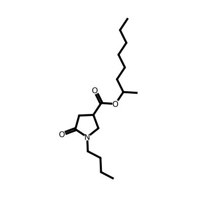 CCCCCCC(C)OC(=O)C1CC(=O)N(CCCC)C1